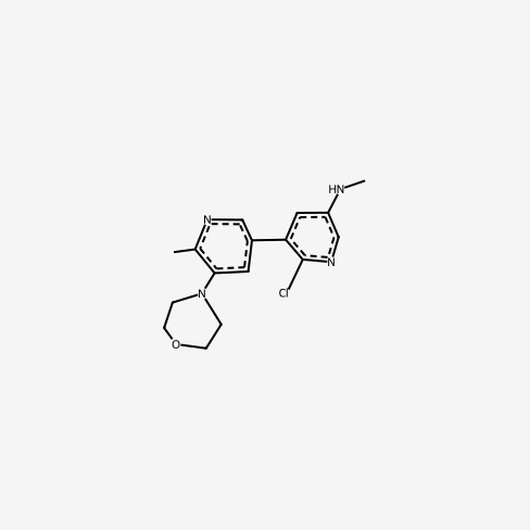 CNc1cnc(Cl)c(-c2cnc(C)c(N3CCOCC3)c2)c1